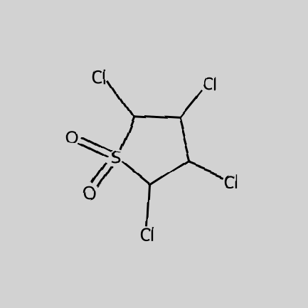 O=S1(=O)C(Cl)C(Cl)C(Cl)C1Cl